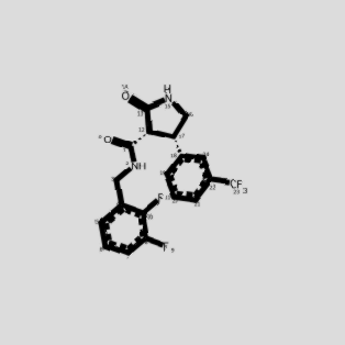 O=C(NCc1cccc(F)c1F)[C@@H]1C(=O)NC[C@@H]1c1cccc(C(F)(F)F)c1